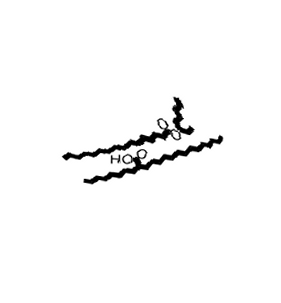 CCCCCCCCCCCCCCC(CCCCCCCC)C(=O)O.CCCCCCCCCCCCCCCC(=O)OC(CC)CCCCC